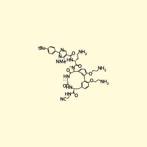 CNc1nc(-c2ccc(C(C)(C)C)cc2)ncc1C(=O)N[C@@H](CCN)C(=O)N(C)[C@@H]1C(=O)N[C@@H](C)C(=O)N[C@H](C(=O)NCC#N)Cc2ccc(OCCN)c(c2)-c2cc1ccc2OCCN